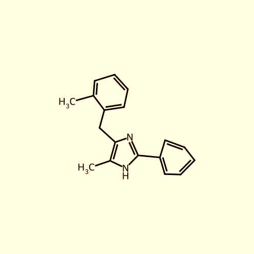 Cc1ccccc1Cc1nc(-c2ccccc2)[nH]c1C